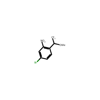 COC(c1ccc(Br)cc1[N+](=O)[O-])C(F)(F)F